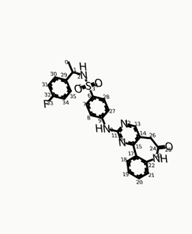 CC(NS(=O)(=O)c1ccc(Nc2ncc3c(n2)-c2ccccc2NC(=O)C3)cc1)c1ccc(F)cc1